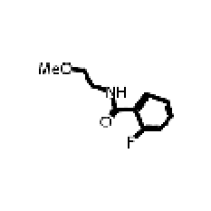 COCCNC(=O)c1ccccc1F